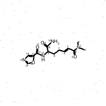 CN(C)C(=O)C=CCCC(NC(=O)c1cnco1)C(N)=O